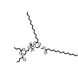 CCCCCCCCCCCCCC(=O)OC[C@H](COP(=O)(OC)OCC(COC(=O)CCC)OC(=O)CCC)OC(=O)CCCCCCCCCCCCC